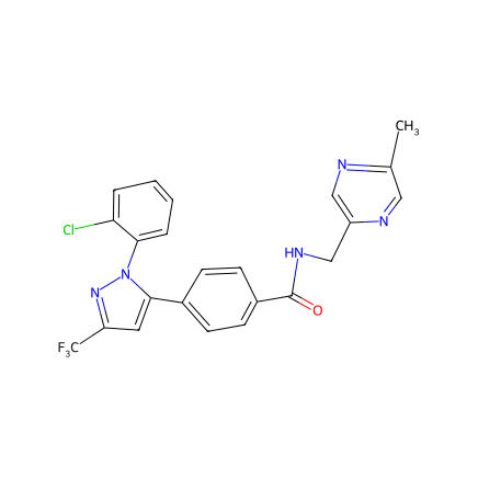 Cc1cnc(CNC(=O)c2ccc(-c3cc(C(F)(F)F)nn3-c3ccccc3Cl)cc2)cn1